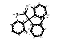 NC(=O)C(c1ccccc1F)(c1ccccc1F)c1ccccc1F